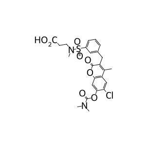 Cc1c(Cc2cccc(S(=O)(=O)N(C)CCC(=O)O)c2)c(=O)oc2cc(OC(=O)N(C)C)c(Cl)cc12